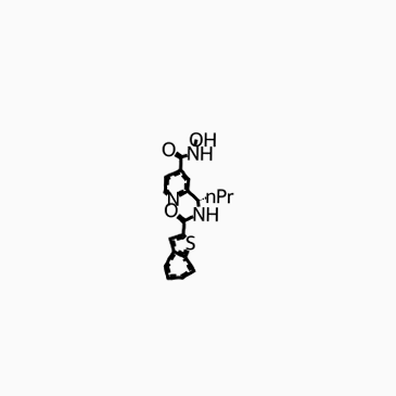 CCC[C@H](NC(=O)c1cc2ccccc2s1)c1cc(C(=O)NO)ccn1